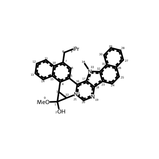 COC1(O)C2c3c(cc(CC(C)C)c4ccccc34)-c3c4c(nc[n+]3C21)c1ccc2ccccc2c1n4C